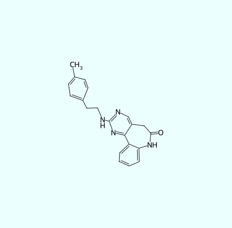 Cc1ccc(CCNc2ncc3c(n2)-c2ccccc2NC(=O)C3)cc1